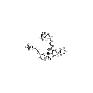 CS(=O)(=O)OCCC#Cc1cccc(C(=O)Nc2ccc(N3CCCCC3)cc2C(=O)NN=Cc2ccc(Cl)c(C(F)(F)F)c2)c1